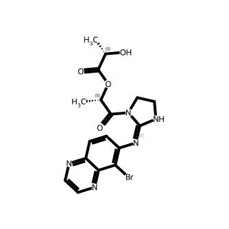 C[C@H](O)C(=O)O[C@@H](C)C(=O)N1CCN/C1=N/c1ccc2nccnc2c1Br